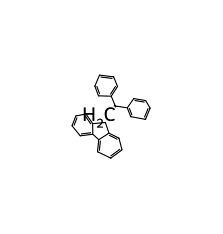 C=C(c1ccccc1)c1ccccc1.c1ccc2c(c1)Cc1ccccc1-2